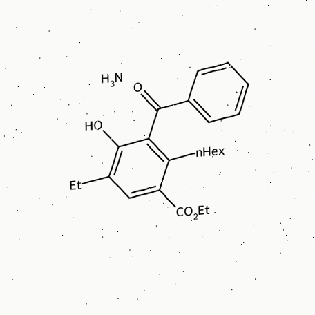 CCCCCCc1c(C(=O)OCC)cc(CC)c(O)c1C(=O)c1ccccc1.N